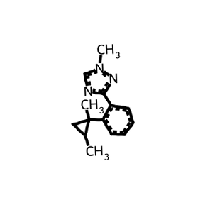 CC1CC1(C)c1ccccc1-c1ncn(C)n1